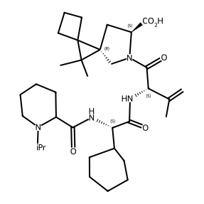 C=C(C)[C@H](NC(=O)[C@@H](NC(=O)C1CCCCN1C(C)C)C1CCCCC1)C(=O)N1C[C@]2(C[C@H]1C(=O)O)C(C)(C)C21CCC1